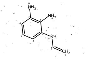 C=CNc1cccc(N)c1N